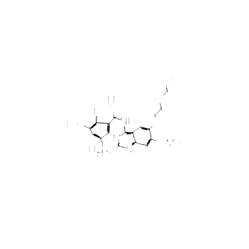 COc1cc2nc(C)nc(N[C@H](C)c3cc(N)cc(C(F)(F)F)c3F)c2cc1OCCOCC(F)(F)F